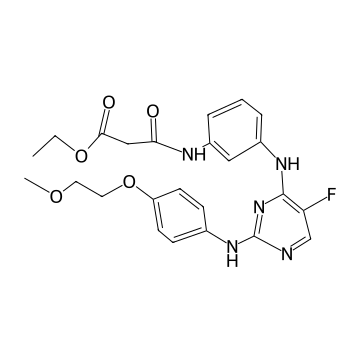 CCOC(=O)CC(=O)Nc1cccc(Nc2nc(Nc3ccc(OCCOC)cc3)ncc2F)c1